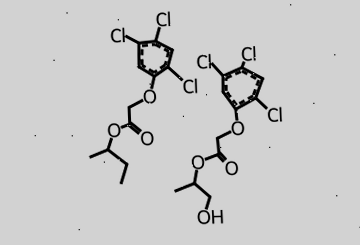 CC(CO)OC(=O)COc1cc(Cl)c(Cl)cc1Cl.CCC(C)OC(=O)COc1cc(Cl)c(Cl)cc1Cl